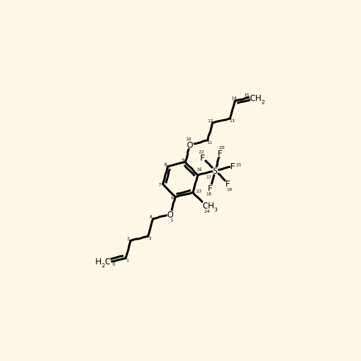 C=CCCCOc1ccc(OCCCC=C)c(S(F)(F)(F)(F)F)c1C